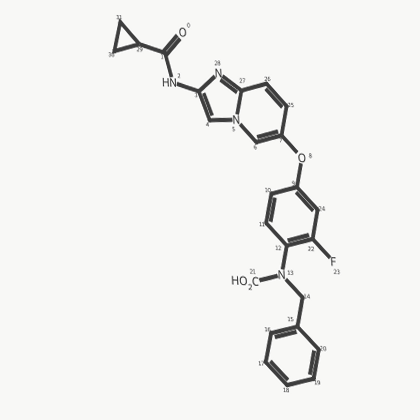 O=C(Nc1cn2cc(Oc3ccc(N(Cc4ccccc4)C(=O)O)c(F)c3)ccc2n1)C1CC1